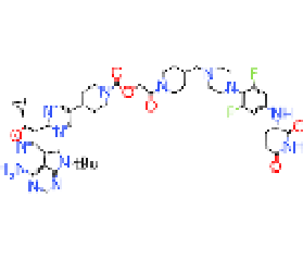 CC(C)(C)n1cc(-c2noc(C3CC3)c2-c2ncc(C3CCN(C(=O)OCC(=O)N4CCC(CN5CCN(c6c(F)cc(N[C@@H]7CCC(=O)NC7=O)cc6F)CC5)CC4)CC3)cn2)c2c(N)ncnc21